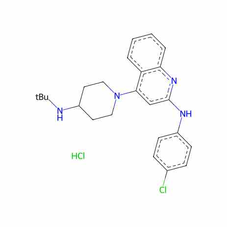 CC(C)(C)NC1CCN(c2cc(Nc3ccc(Cl)cc3)nc3ccccc23)CC1.Cl